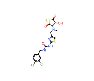 CN(Cc1csc(NC(=O)NCc2ccc(Cl)c(Cl)c2)n1)C1C(=O)[SH4]C(=O)C1O